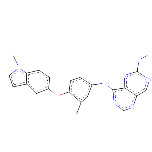 CCNc1ncc2ncnc(Nc3ccc(Oc4ccc5c(ccn5C)c4)c(C)c3)c2n1